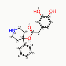 O=C(Cc1ccc(O)c(O)c1)OC1(c2ccccc2)CCNCC1